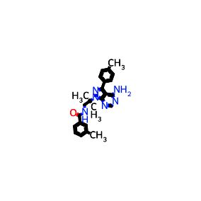 Cc1ccc(-c2nn(C(C)(C)CNC(=O)c3cccc(C)c3)c3ncnc(N)c23)cc1